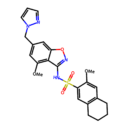 COc1cc2c(cc1S(=O)(=O)Nc1noc3cc(Cn4cccn4)cc(OC)c13)CCCC2